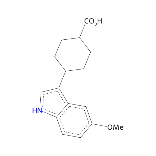 COc1ccc2[nH]cc(C3CCC(C(=O)O)CC3)c2c1